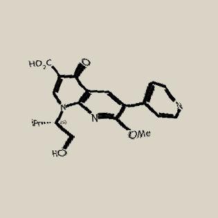 COc1nc2c(cc1-c1ccncc1)c(=O)c(C(=O)O)cn2[C@H](CO)C(C)C